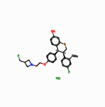 COc1cc(F)ccc1[C@@H]1CSc2cc(O)ccc2[C@@H]1c1ccc(OCCN2CC(CF)C2)cc1.Cl